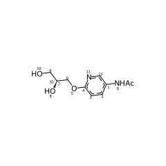 CC(=O)Nc1ccc(OC[C@@H](O)CO)nc1